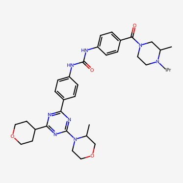 CC1COCCN1c1nc(-c2ccc(NC(=O)Nc3ccc(C(=O)N4CCN(C(C)C)C(C)C4)cc3)cc2)nc(C2CCOCC2)n1